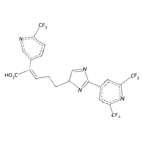 O=C(O)/C(=C/CCC1C=NC(c2cc(C(F)(F)F)nc(C(F)(F)F)c2)=N1)c1ccc(C(F)(F)F)nc1